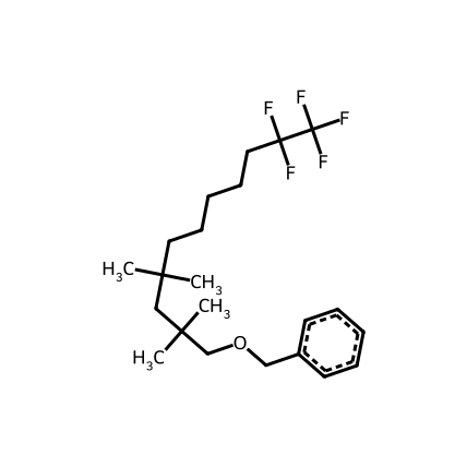 CC(C)(CCCCCC(F)(F)C(F)(F)F)CC(C)(C)COCc1ccccc1